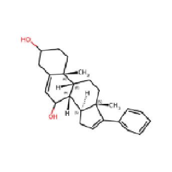 C[C@]12CCC(O)CC1=CC(O)[C@@H]1[C@H]2CC[C@]2(C)C(c3ccccc3)=CC[C@@H]12